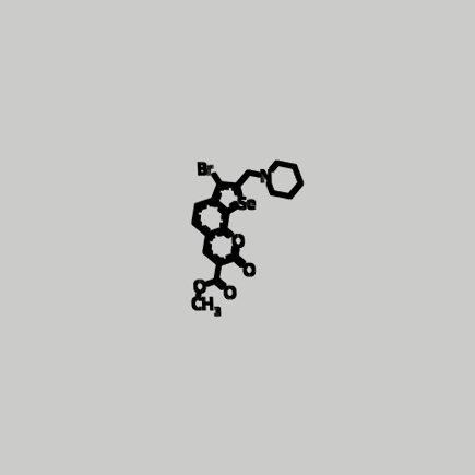 COC(=O)c1cc2ccc3c(Br)c(CN4CCCCC4)[se]c3c2oc1=O